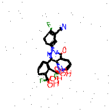 N#Cc1cc(-n2nc(-c3cccc(C(O)(O)F)c3C(O)(O)F)c3ncccc3c2=O)ccc1F